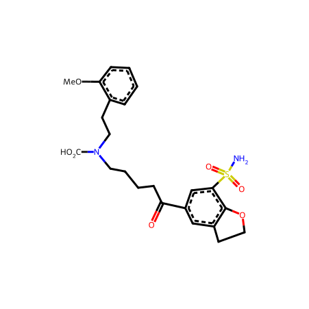 COc1ccccc1CCN(CCCCC(=O)c1cc2c(c(S(N)(=O)=O)c1)OCC2)C(=O)O